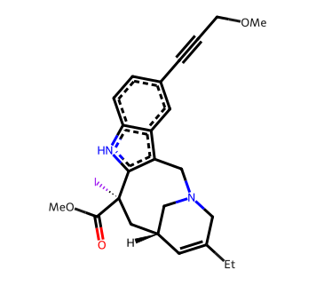 CCC1=C[C@H]2CN(C1)Cc1c([nH]c3ccc(C#CCOC)cc13)[C@](I)(C(=O)OC)C2